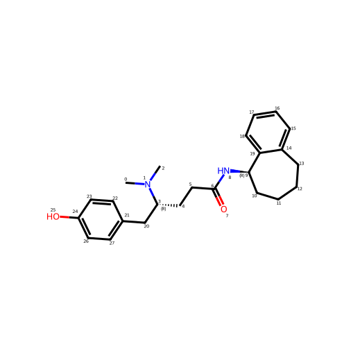 CN(C)[C@H](CCC(=O)N[C@@H]1CCCCc2ccccc21)Cc1ccc(O)cc1